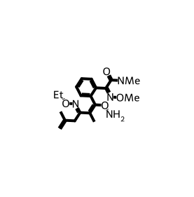 C=C(C)CC(=NOCC)C(C)=C(ON)c1ccccc1C(=NOC)C(=O)NC